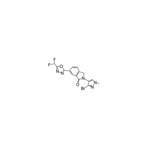 Cn1cc(N2Cc3ccc(-c4nnc(C(F)F)o4)cc3C2=O)c(Br)n1